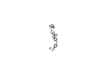 O=C(Oc1ccc(Cc2ccc(C(F)(F)F)cc2)cc1)N1CCC(Cc2ncccn2)CC1